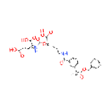 C[C@@H](C(=O)OCc1ccccc1)c1cccc(C(=O)NCCCC[C@H](OC(=O)N[C@@H](CCC(=O)O)C(=O)O)C(=O)O)c1